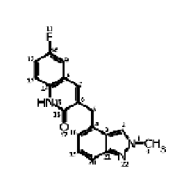 Cn1cc2c(Cc3cc4cc(F)ccc4[nH]c3=O)cccc2n1